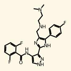 CN(C)CCNCc1nc(-c2n[nH]cc2NC(=O)c2c(F)cccc2F)[nH]c1-c1ccc(F)cc1